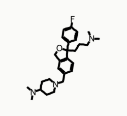 CN(C)CCCC1(c2ccc(F)cc2)OCc2cc(CN3CCC(N(C)C)CC3)ccc21